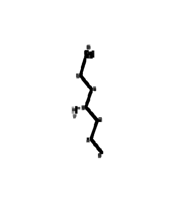 CCCCC[CH2][Sn].[H-]